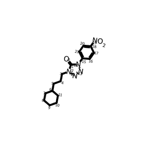 O=c1n(CCCC2CCCCC2)nnn1-c1ccc([N+](=O)[O-])cc1